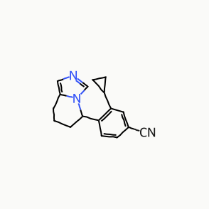 N#Cc1ccc(C2CCCc3cncn32)c(C2CC2)c1